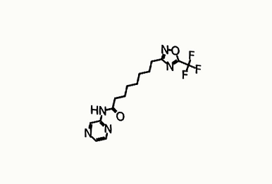 O=C(CCCCCCCc1noc(C(F)(F)F)n1)Nc1cnccn1